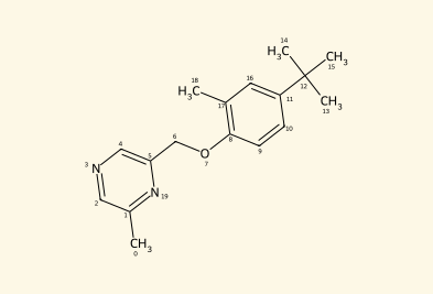 Cc1cncc(COc2ccc(C(C)(C)C)cc2C)n1